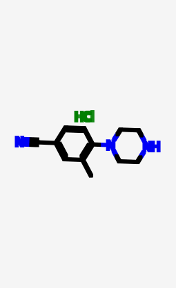 Cc1cc(C#N)ccc1N1CCNCC1.Cl